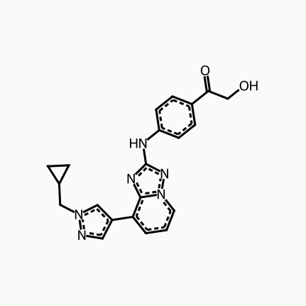 O=C(CO)c1ccc(Nc2nc3c(-c4cnn(CC5CC5)c4)cccn3n2)cc1